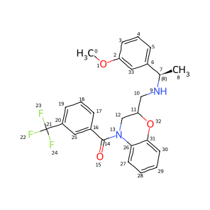 COc1cccc([C@@H](C)NCC2CN(C(=O)c3cccc(C(F)(F)F)c3)c3ccccc3O2)c1